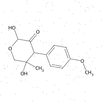 COc1ccc(C2C(=O)C(O)OCC2(C)O)cc1